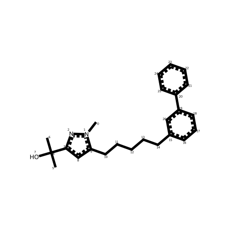 Cn1nc(C(C)(C)O)cc1CCCCCc1cccc(-c2ccccc2)c1